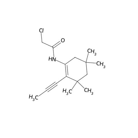 CC#CC1=C(NC(=O)CCl)CC(C)(C)CC1(C)C